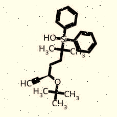 C#C[C@@H](CCC(C)(C)[Si](O)(c1ccccc1)c1ccccc1)OC(C)(C)C